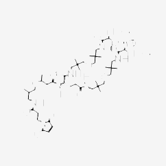 CCCCCCCCC(CCCCCC)C(=O)NCC(C)(C)COCC(C)(C)CNC(=O)CC[C@H](NC(=O)CC(C)OCC(C)CNC(=O)CCN1C(=O)C=CC1=O)C(=O)NCC(C)(C)COCC(C)(C)CNC(=O)C(CCCCCC)CCCCCCCC